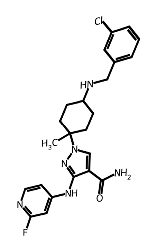 CC1(n2cc(C(N)=O)c(Nc3ccnc(F)c3)n2)CCC(NCc2cccc(Cl)c2)CC1